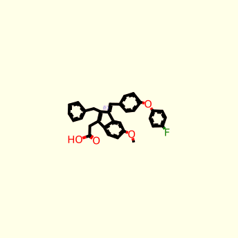 COc1ccc2c(c1)/C(=C\c1ccc(Oc3ccc(F)cc3)cc1)C(Cc1ccccc1)=C2CC(=O)O